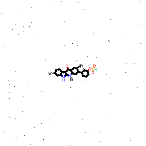 CCn1c2cc(-c3cccc(OS(=O)(=O)F)c3)c(C(C)C)cc2c(=O)c2c3ccc(C#N)cc3[nH]c21